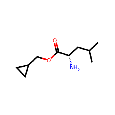 CC(C)C[C@H](N)C(=O)OCC1CC1